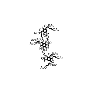 CC(=O)OCCCN(OC(C)=O)C(=O)c1cc(N(I)C(=O)OCCOC(=O)Nc2c(I)c(NC(=O)OCCOC(=O)N(I)c3cc(C(=O)N(CCCOC(C)=O)OC(C)=O)c(I)c(C(=O)N(CCCOC(C)=O)OC(C)=O)c3I)c(I)c(C(=O)NCC(COC(C)=O)OC(C)=O)c2I)c(I)c(C(=O)N(CCCOC(C)=O)OC(C)=O)c1I